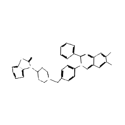 O=c1[nH]c2ccccc2n1C1CCN(Cc2ccc(N3C=c4cc(Cl)c(F)cc4=NC3c3ccccc3)cc2)CC1